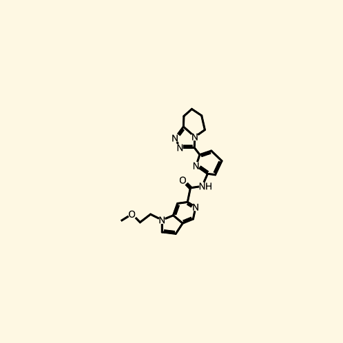 COCCn1ccc2cnc(C(=O)Nc3cccc(-c4nnc5n4CCCC5)n3)cc21